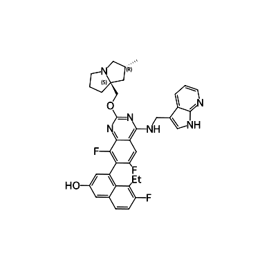 CCc1c(F)ccc2cc(O)cc(-c3c(F)cc4c(NCc5c[nH]c6ncccc56)nc(OC[C@@]56CCCN5C[C@H](C)C6)nc4c3F)c12